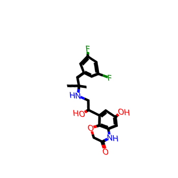 CC(C)(Cc1cc(F)cc(F)c1)NCC(O)c1cc(O)cc2c1OCC(=O)N2